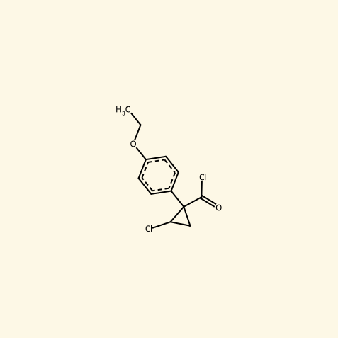 CCOc1ccc(C2(C(=O)Cl)CC2Cl)cc1